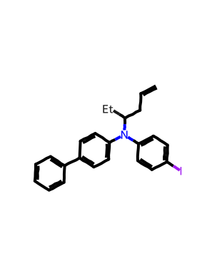 C=CCC(CC)N(c1ccc(I)cc1)c1ccc(-c2ccccc2)cc1